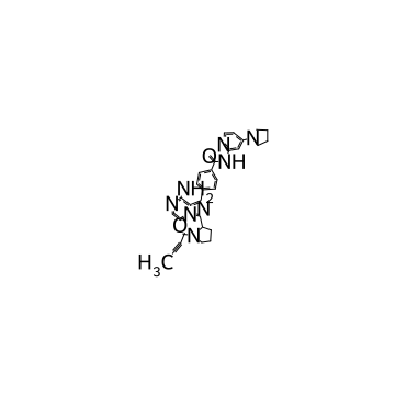 CC#CC(=O)N1CCCC1c1nc(-c2ccc(C(=O)Nc3cc(N4CCCC4)ccn3)cc2)c2c(N)nccn12